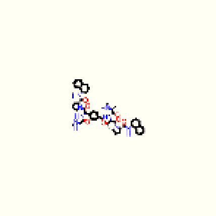 CN[C@@H](C)C(=O)N[C@H](C(=O)N1CCC[C@H]1C(=O)NC1CCCc2ccccc21)c1ccc(CO[C@H](C)[C@H](NC(=O)[C@H](C)NC)C(=O)N2CCC[C@H]2C(=O)N[C@@H]2CCCc3ccccc32)cc1